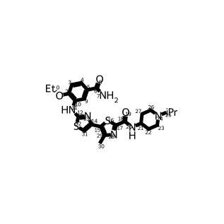 CCOc1ccc(C(N)=O)cc1Nc1nc(-c2sc(C(=O)NC3CCN(C(C)C)CC3)nc2C)cs1